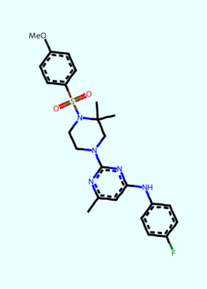 COc1ccc(S(=O)(=O)N2CCN(c3nc(C)cc(Nc4ccc(F)cc4)n3)CC2(C)C)cc1